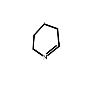 [CH]1CC=NCC1